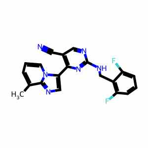 Cc1cccn2c(-c3nc(NCc4c(F)cccc4F)ncc3C#N)cnc12